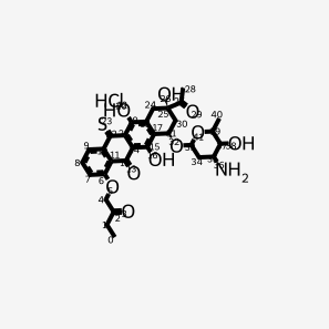 CCC(=O)COc1cccc2c1C(=O)c1c(O)c3c(c(O)c1C2=S)C[C@@](O)(C(C)=O)C[C@@H]3OC1CC(N)C(O)C(C)O1.Cl